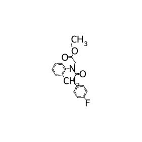 CCOC(=O)CN(C(=O)Cc1ccc(F)cc1)c1ccccc1C